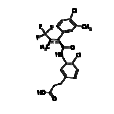 Cc1cc([C@@H](C(=O)Nc2cc(CCC(=O)O)ccc2Cl)[C@@H](C)C(F)(F)F)ccc1Cl